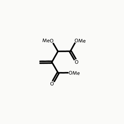 C=C(C(=O)OC)C(OC)C(=O)OC